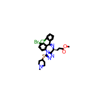 COC(=O)CC[C@@H]1N=C(c2ccccc2Cl)c2cc(Br)ccc2-n2c(SC3CCN(C)CC3)nnc21